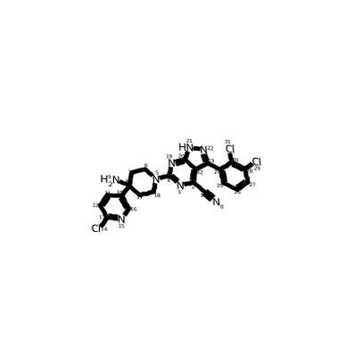 N#Cc1nc(N2CCC(N)(c3ccc(Cl)nc3)CC2)nc2[nH]nc(-c3cccc(Cl)c3Cl)c12